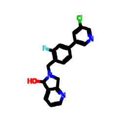 OC1c2cccnc2CN1Cc1ccc(-c2cncc(Cl)c2)cc1F